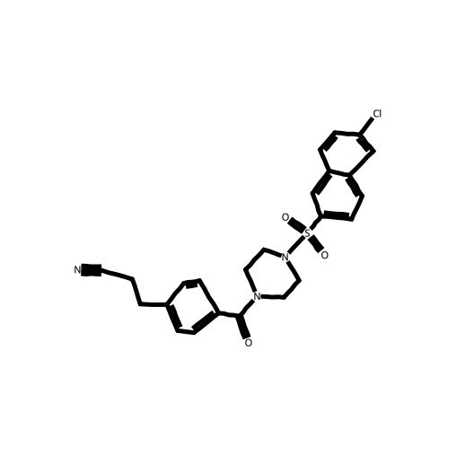 N#CCCc1ccc(C(=O)N2CCN(S(=O)(=O)c3ccc4cc(Cl)ccc4c3)CC2)cc1